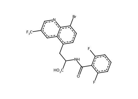 O=C(NC(Cc1ccc(Br)c2ncc(C(F)(F)F)cc12)C(=O)O)c1c(F)cccc1F